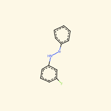 Fc1cccc(N[N]c2ccccc2)c1